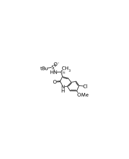 COc1cc2[nH]c(=O)c([C@H](C)N[S+]([O-])C(C)(C)C)cc2cc1Cl